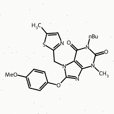 CCCCn1c(=O)c2c(nc(Oc3ccc(OC)cc3)n2Cc2ncc(C)s2)n(C)c1=O